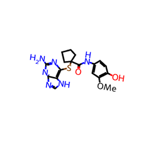 COc1cc(NC(=O)C2(Sc3nc(N)nc4nc[nH]c34)CCCC2)ccc1O